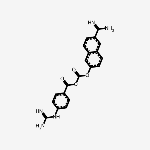 N=C(N)Nc1ccc(C(=O)OC(=O)Oc2ccc3cc(C(=N)N)ccc3c2)cc1